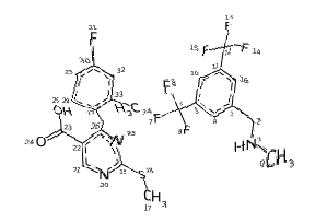 CNCc1cc(C(F)(F)F)cc(C(F)(F)F)c1.CSc1ncc(C(=O)O)c(-c2ccc(F)cc2C)n1